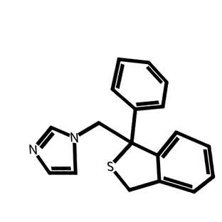 c1ccc(C2(Cn3ccnc3)SCc3ccccc32)cc1